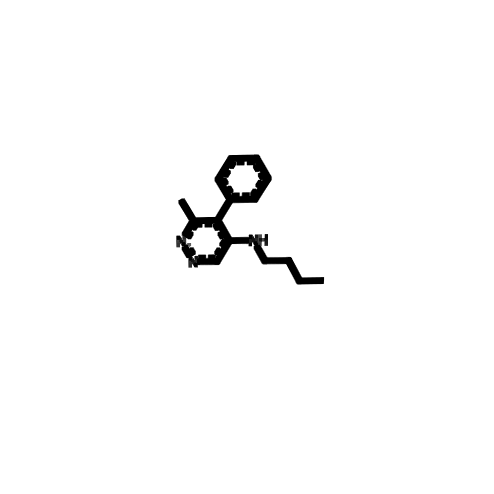 CCCCNc1cnnc(C)c1-c1ccccc1